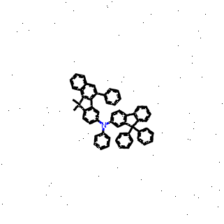 CC1(C)c2ccc(N(c3ccccc3)c3ccc4c(c3)C(c3ccccc3)(c3ccccc3)c3ccccc3-4)cc2-c2c(-c3ccccc3)cc3ccccc3c21